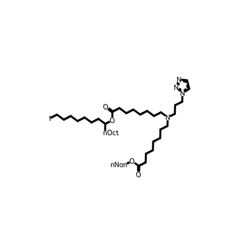 CCCCCCCCCOC(=O)CCCCCCCN(CCCCCCCC(=O)OC(CCCCCCCC)CCCCCCCI)CCCn1ccnn1